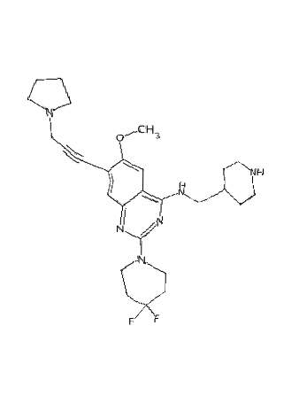 COc1cc2c(NCC3CCNCC3)nc(N3CCC(F)(F)CC3)nc2cc1C#CCN1CCCC1